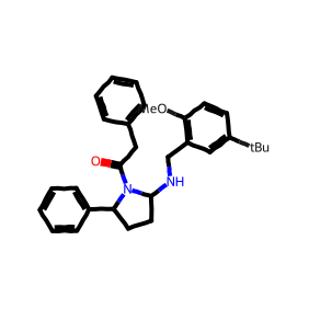 COc1ccc(C(C)(C)C)cc1CNC1CCC(c2ccccc2)N1C(=O)Cc1ccccc1